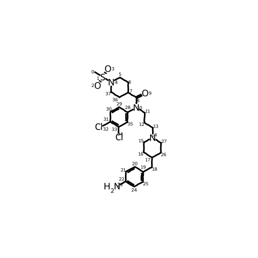 CS(=O)(=O)N1CCC(C(=O)N(CCCN2CCC(Cc3ccc(N)cc3)CC2)c2ccc(Cl)c(Cl)c2)CC1